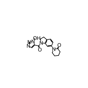 O=C1CCCCN1c1ccc2c(c1)N(C(=O)c1cnnn1O)CC2